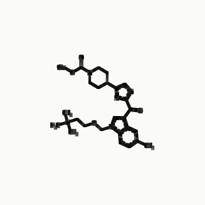 Cc1ccc2c(c1)c(C(=O)c1nc(C3CCN(C(=O)OC(C)(C)C)CC3)cs1)cn2COCC[Si](C)(C)C